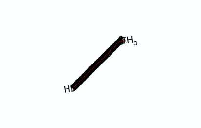 CCOS(=S)(=S)SSSSSSSSSSSSSSSSSSSSSSSSSSSSSSSSSSSSSSSSSSSSSSSSSSSSSSSSSSSSSSSSSSSSSSSSSS